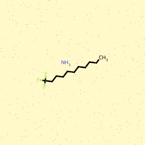 CCCCCCCCCCC(F)(F)F.N